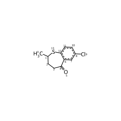 CC1CCC(=O)c2cc(Cl)ccc2S1